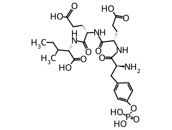 CCC(C)[C@H](NC(=O)[C@H](CCC(=O)O)NC(=O)[C@H](CCC(=O)O)NC(=O)[C@@H](N)Cc1ccc(OP(=O)(O)O)cc1)C(=O)O